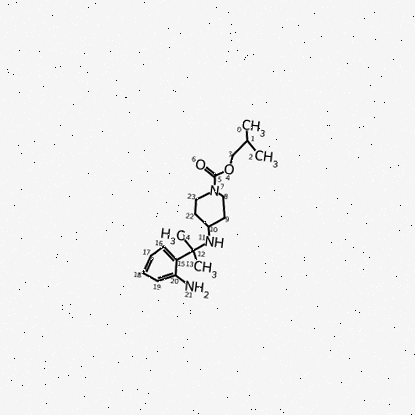 CC(C)COC(=O)N1CCC(NC(C)(C)c2ccccc2N)CC1